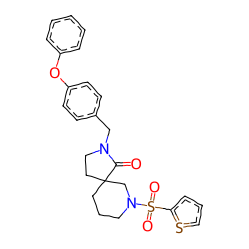 O=C1N(Cc2ccc(Oc3ccccc3)cc2)CCC12CCCN(S(=O)(=O)c1cccs1)C2